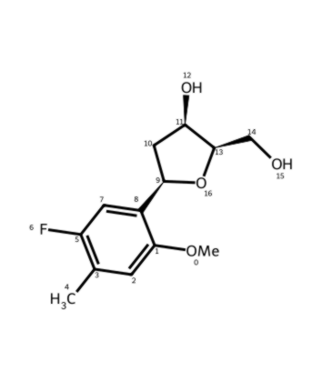 COc1cc(C)c(F)cc1[C@H]1C[C@@H](O)[C@@H](CO)O1